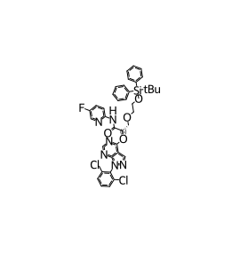 CC(C)(C)[Si](OCCOC[C@H](Oc1ncnc2c1cnn2-c1c(Cl)cccc1Cl)C(=O)Nc1ccc(F)cn1)(c1ccccc1)c1ccccc1